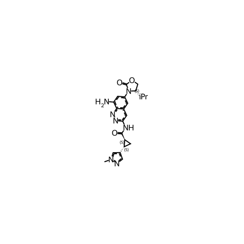 CC(C)[C@H]1COC(=O)N1c1cc(N)c2nnc(NC(=O)[C@H]3C[C@@H]3c3cnn(C)c3)cc2c1